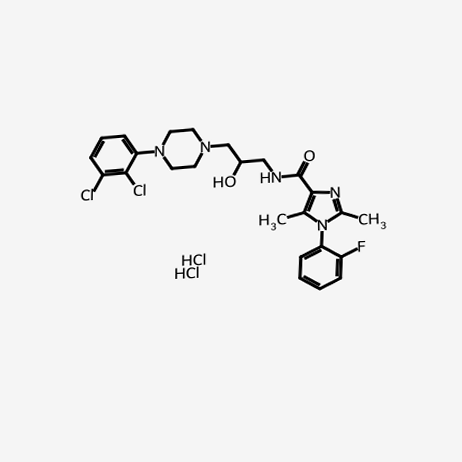 Cc1nc(C(=O)NCC(O)CN2CCN(c3cccc(Cl)c3Cl)CC2)c(C)n1-c1ccccc1F.Cl.Cl